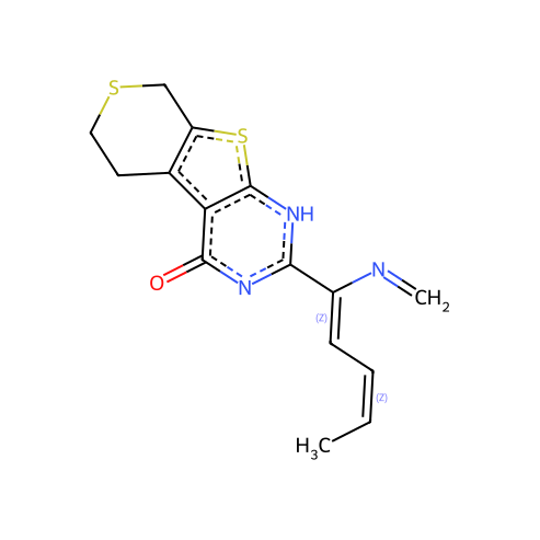 C=N/C(=C\C=C/C)c1nc(=O)c2c3c(sc2[nH]1)CSCC3